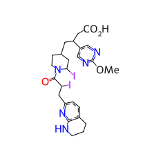 COc1ncc(C(CC(=O)O)CC2CCN(C(=O)C(I)Cc3ccc4c(n3)NCCC4)C(I)C2)cn1